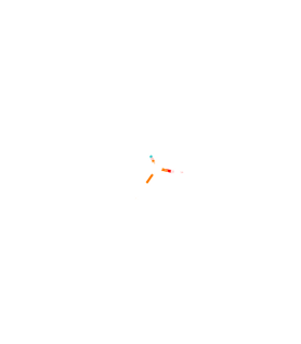 OP(F)P